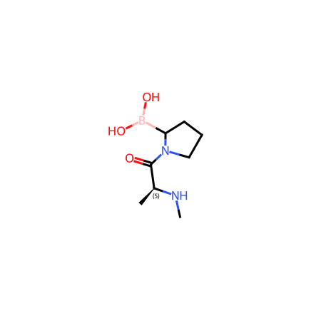 CN[C@@H](C)C(=O)N1CCCC1B(O)O